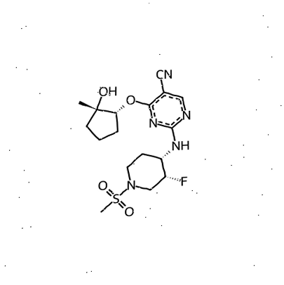 C[C@]1(O)CCC[C@H]1Oc1nc(N[C@H]2CCN(S(C)(=O)=O)C[C@H]2F)ncc1C#N